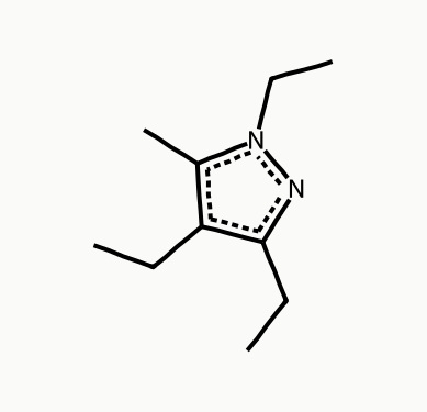 CCc1nn(CC)c(C)c1CC